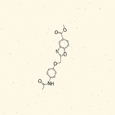 COC(=O)c1ccc2oc(COc3ccc(NC(C)=O)cc3)nc2c1